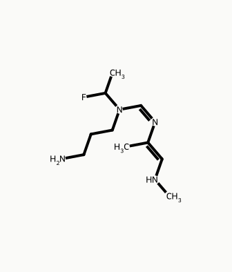 CN/C=C(C)/N=C\N(CCCN)C(C)F